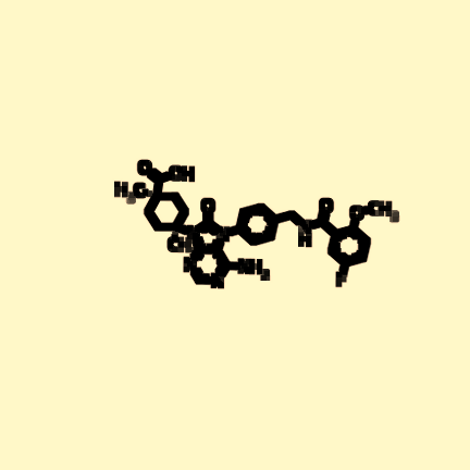 COc1ccc(F)cc1C(=O)NCc1ccc(-n2c(=O)n([C@]3(C)CC[C@](C)(C(=O)O)CC3)c3ncnc(N)c32)cc1